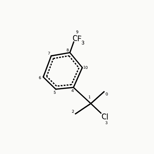 CC(C)(Cl)c1cccc(C(F)(F)F)c1